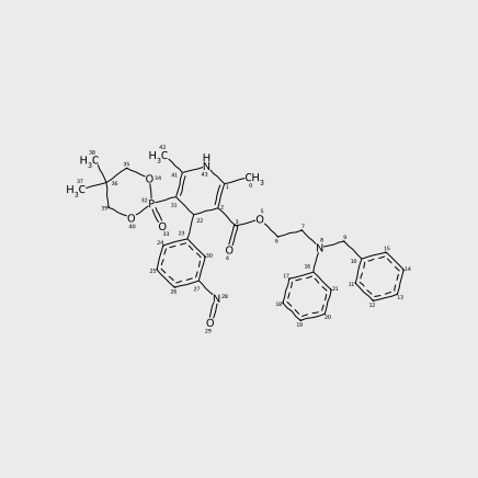 CC1=C(C(=O)OCCN(Cc2ccccc2)c2ccccc2)C(c2cccc(N=O)c2)C(P2(=O)OCC(C)(C)CO2)=C(C)N1